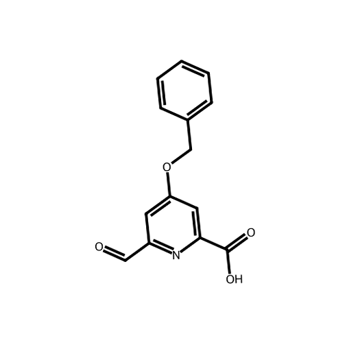 O=Cc1cc(OCc2ccccc2)cc(C(=O)O)n1